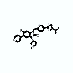 CN1CC[C@@H](n2c(=O)n(Cc3ccc(-c4nnc(C(F)F)o4)cn3)c3cc(F)c(-c4ccncc4)cc32)C1